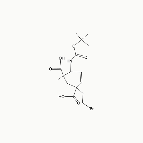 CC(C)(C)OC(=O)NC1C=CC(CCBr)(C(=O)O)CC1(C)C(=O)O